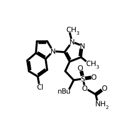 CCCCC(Cc1c(C)nn(C)c1-n1ccc2ccc(Cl)cc21)S(=O)(=O)OC(N)=O